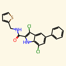 O=C(NCc1cccs1)c1[nH]c2c(Cl)cc(-c3ccccc3)cc2c1Cl